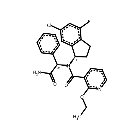 CCOc1ncccc1C(=O)N([C@@H]1CCc2c(F)cc(Cl)cc21)[C@@H](C(N)=O)c1ccccc1